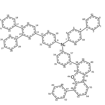 c1ccc(-c2ccc(N(c3ccc(-c4ccc(-c5ccccc5)c(-c5ccccc5)c4)cc3)c3cccc(-c4cccc5c4oc4c(-c6ccccc6)cccc45)c3)cc2)cc1